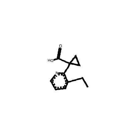 CCc1cccnc1C1(C(=O)O)CC1